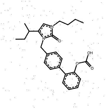 CCCCn1cc(C(C)CC)n(Cc2ccc(-c3ccccc3OC(=O)O)cc2)c1=O